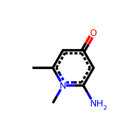 Cc1cc(=O)cc(N)n1C